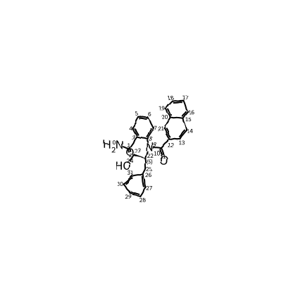 NC(=O)c1ccccc1N(C(=O)c1ccc2ccccc2c1)[C@H](CO)Cc1ccccc1